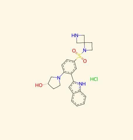 Cl.O=S(=O)(c1ccc(N2CC[C@H](O)C2)c(-c2cc3ccccc3[nH]2)c1)N1CCC12CNC2